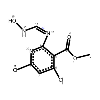 COC(=O)c1c(Cl)cc(Cl)nc1/N=C\NO